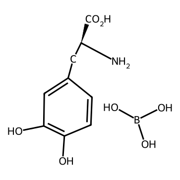 N[C@@H](Cc1ccc(O)c(O)c1)C(=O)O.OB(O)O